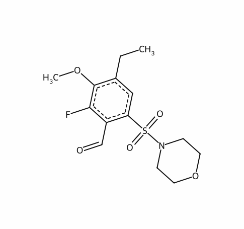 CCc1cc(S(=O)(=O)N2CCOCC2)c(C=O)c(F)c1OC